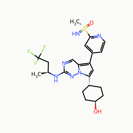 C[C@@H](CC(F)(F)F)Nc1ncc2c(-c3ccnc([S@@](C)(=N)=O)c3)cc([C@H]3CC[C@H](O)CC3)n2n1